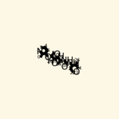 Cc1ncccc1O[C@H]1CO[C@H]2[C@@H]1OC[C@@H]2NC(=O)NC1CCOCC1C